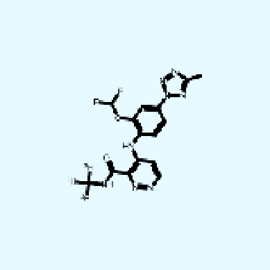 [2H]C([2H])([2H])NC(=O)c1nnccc1Nc1ccc(-n2nnc(C)n2)cc1OC(F)F